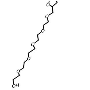 OCCOCCOCCOCCOCCOCC1CCCO1